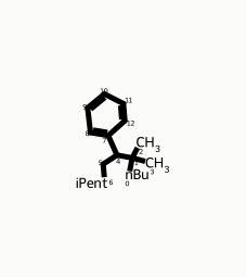 CCCCC(C)(C)C(CC(C)CCC)c1ccccc1